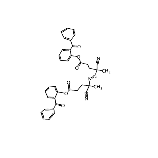 CC(C#N)(CCC(=O)Oc1ccccc1C(=O)c1ccccc1)N=NC(C)(C#N)CCC(=O)Oc1ccccc1C(=O)c1ccccc1